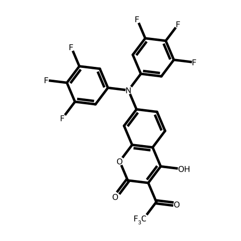 O=C(c1c(O)c2ccc(N(c3cc(F)c(F)c(F)c3)c3cc(F)c(F)c(F)c3)cc2oc1=O)C(F)(F)F